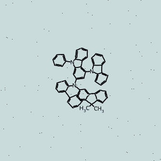 CC1(C)c2ccccc2-c2cc(N(c3cc(-n4c5ccccc5c5ccccc54)c4c5ccccc5n(-c5ccccc5)c4c3)c3ccccc3-c3ccccc3)ccc21